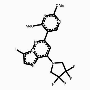 COc1ncc(-c2cc(N3CC(F)(F)C(F)(F)C3)c3ncc(F)n3n2)c(OC)n1